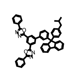 CC(C)Cc1ccc(C2(c3cccc(-c4cc(-c5nnc(-c6ccccc6)o5)cc(-c5nnc(-c6ccccc6)o5)c4)c3)c3ccccc3-c3ccccc32)cc1